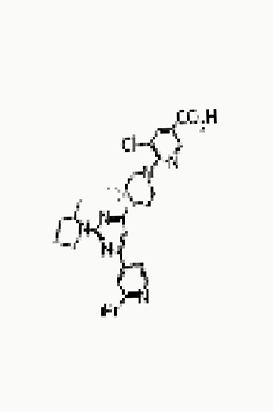 CC(C)c1cc(-c2cc(N3CCN(c4ncc(C(=O)O)cc4Cl)C[C@H]3C)nc(N3CCCC3C)n2)ccn1